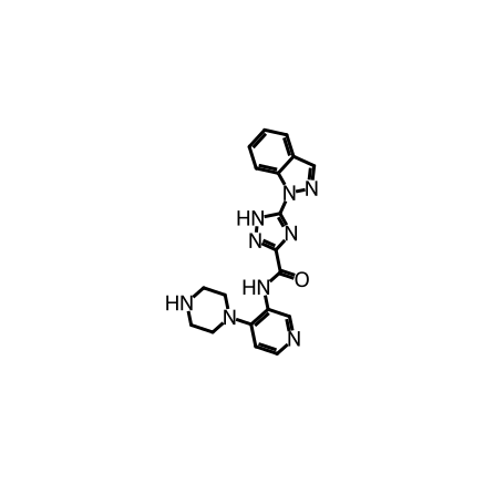 O=C(Nc1cnccc1N1CCNCC1)c1n[nH]c(-n2ncc3ccccc32)n1